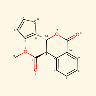 COC(=O)[C@@H]1c2ccccc2C(=O)O[C@H]1c1cccs1